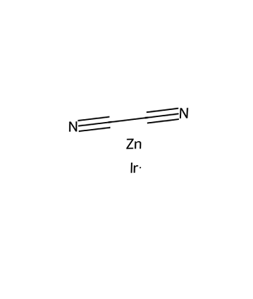 N#CC#N.[Ir].[Zn]